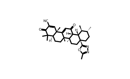 Cc1nnc([C@]23CC[C@@H](C)[C@H](C)[C@H]2[C@H]2C(=O)C=C4[C@@]5(C)C=C(C#N)C(=O)C(C)(C)[C@@H]5CC[C@@]4(C)[C@]2(C)CC3)o1